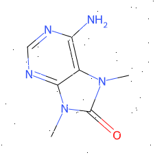 Cn1c(=O)n(C)c2c(N)ncnc21